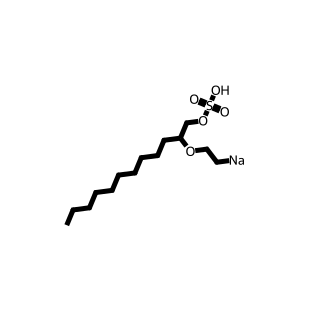 CCCCCCCCCCC(COS(=O)(=O)O)OC[CH2][Na]